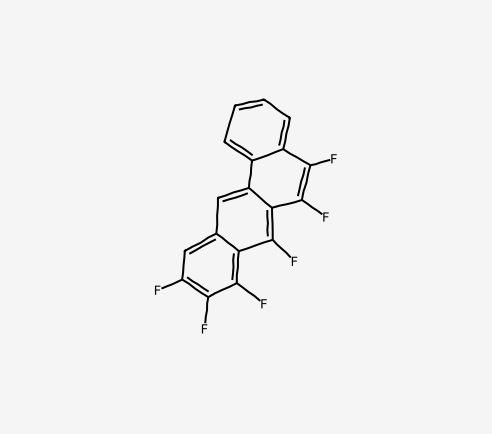 Fc1cc2cc3c(c(F)c(F)c4ccccc43)c(F)c2c(F)c1F